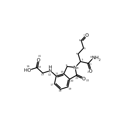 NC(=O)C(CCC=O)N1Cc2c(NCC(=O)O)cccc2C1=O